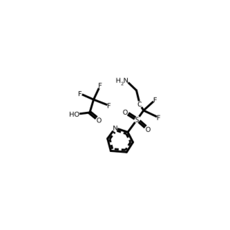 NCCC(F)(F)S(=O)(=O)c1ccccn1.O=C(O)C(F)(F)F